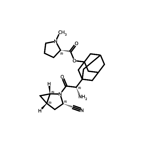 CN1CCC[C@H]1C(=O)OC12CC3CC(C1)CC([C@H](N)C(=O)N1[C@H](C#N)C[C@@H]4C[C@@H]41)(C3)C2